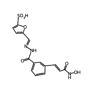 O=C(/C=C/c1cccc(C(=O)N/N=C/c2ccc(S(=O)(=O)O)o2)c1)NO